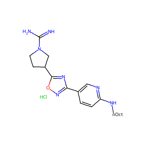 CCCCCCCCNc1ccc(-c2noc(C3CCN(C(=N)N)C3)n2)cn1.Cl